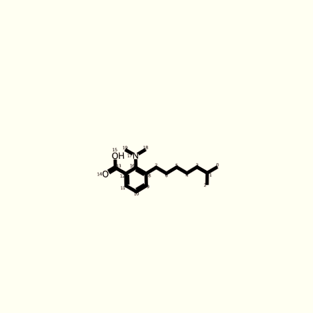 CC(C)CCCCCc1cccc(C(=O)O)c1N(C)C